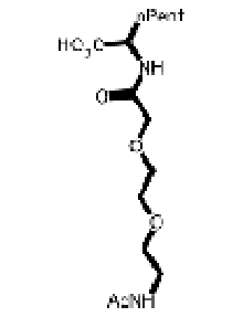 CCCCCC(NC(=O)COCCOCCNC(C)=O)C(=O)O